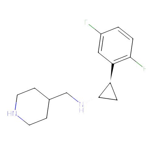 Fc1ccc(F)c([C@H]2C[C@@H]2NCC2CCNCC2)c1